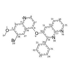 COc1cc2nccc(Oc3cc4cccnc4nc3-c3ccccc3)c2cc1Br